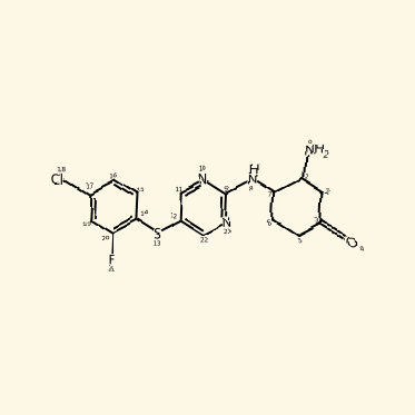 NC1CC(=O)CCC1Nc1ncc(Sc2ccc(Cl)cc2F)cn1